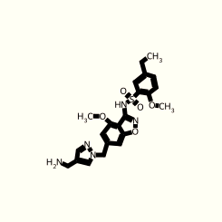 CCc1ccc(OC)c(S(=O)(=O)Nc2noc3cc(Cn4cc(CN)cn4)cc(OC)c23)c1